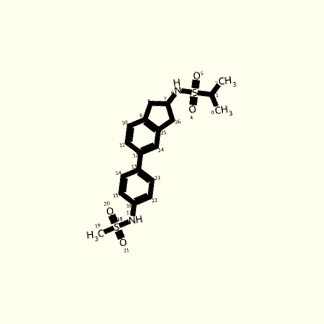 CC(C)S(=O)(=O)NC1Cc2ccc(-c3ccc(NS(C)(=O)=O)cc3)cc2C1